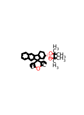 CC1(C)OB(C2=CC3=C(CC2)c2cc4ccccc4cc2C32c3ccccc3Oc3ccccc32)OC1(C)C